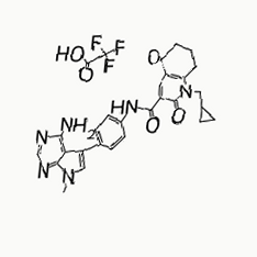 Cn1cc(-c2ccc(NC(=O)c3cc4c(n(CC5CC5)c3=O)CCCC4=O)cc2)c2c(N)ncnc21.O=C(O)C(F)(F)F